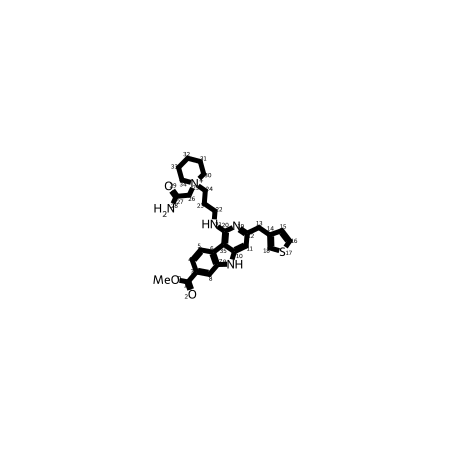 COC(=O)c1ccc2c(c1)[nH]c1cc(Cc3ccsc3)nc(NCCC[N+]3(CC(N)=O)CCCCC3)c12